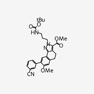 COC(=O)c1c2c(nn1CCCNC(=O)OC(C)(C)C)-c1cc(-c3cccc(C#N)c3)c(OC)cc1CC2